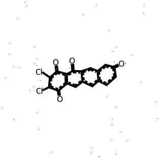 O=c1ccc2cc3cc4c(=O)c(Cl)c(Cl)c(=O)c=4c(=O)c3cc2c1